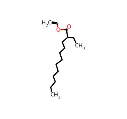 C=COC(=O)C(CC)CCCCCCCCCC